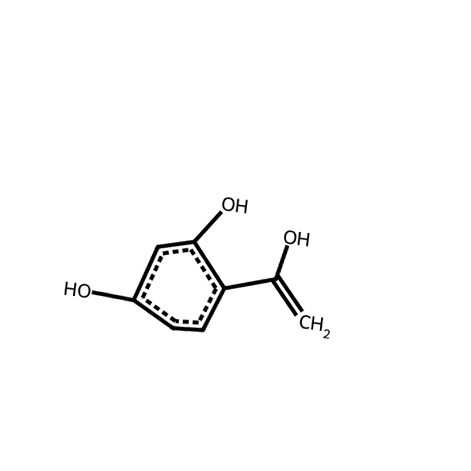 C=C(O)c1ccc(O)cc1O